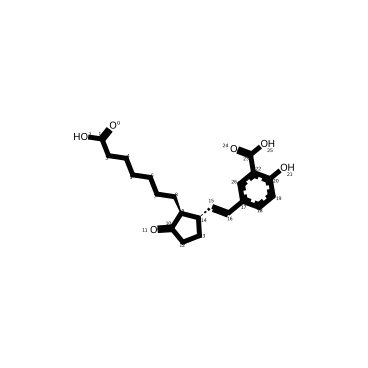 O=C(O)CCCCCC[C@@H]1C(=O)CC[C@H]1C=Cc1ccc(O)c(C(=O)O)c1